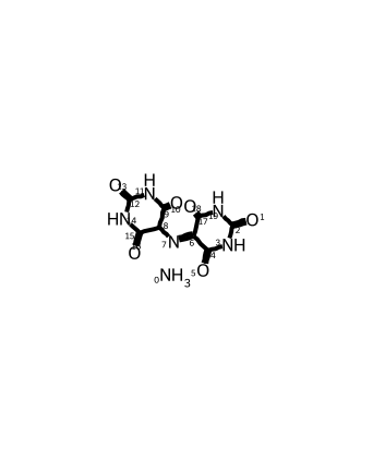 N.O=C1NC(=O)C(=NC2C(=O)NC(=O)NC2=O)C(=O)N1